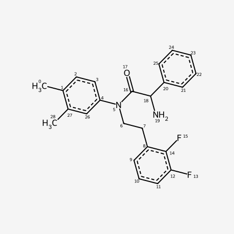 Cc1ccc(N(CCc2cccc(F)c2F)C(=O)C(N)c2ccccc2)cc1C